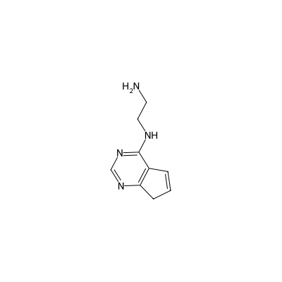 NCCNc1ncnc2c1C=CC2